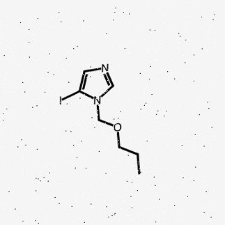 CCCOCn1cncc1I